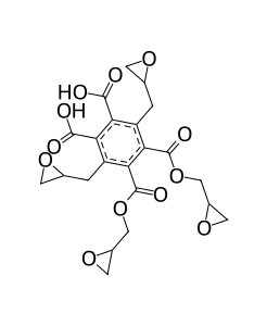 O=C(O)c1c(CC2CO2)c(C(=O)OCC2CO2)c(C(=O)OCC2CO2)c(CC2CO2)c1C(=O)O